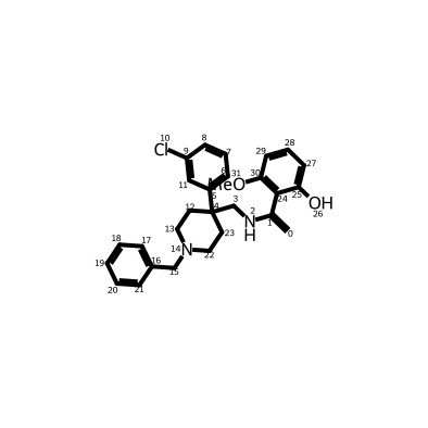 C=C(NCC1(c2cccc(Cl)c2)CCN(Cc2ccccc2)CC1)c1c(O)cccc1OC